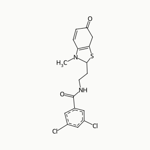 CN1C2=C(CC(=O)C=C2)SC1CCNC(=O)c1cc(Cl)cc(Cl)c1